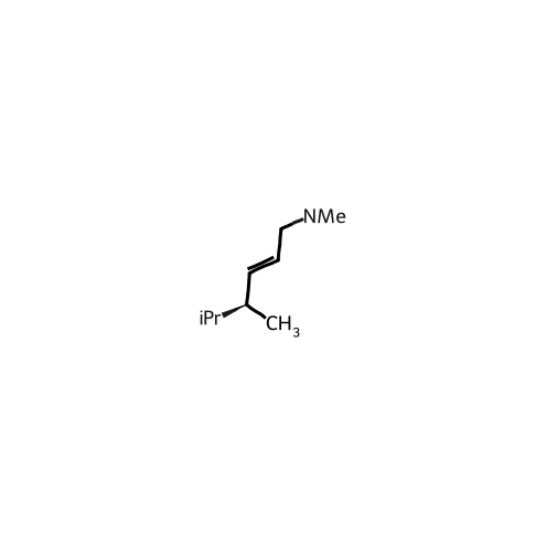 CNC/C=C/[C@@H](C)C(C)C